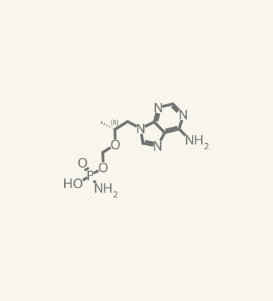 C[C@H](Cn1cnc2c(N)ncnc21)OCOP(N)(=O)O